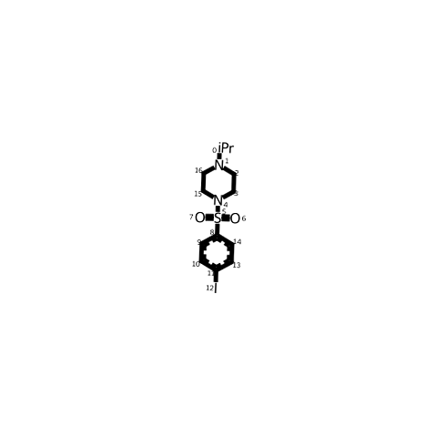 CC(C)N1CCN(S(=O)(=O)c2ccc(I)cc2)CC1